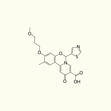 COCCCOc1cc2c(cc1C)-c1cc(=O)c(C(=O)O)cn1C(c1cncs1)O2